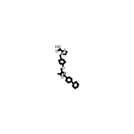 Cc1oc(-c2ccc(-c3ccccc3)cc2)nc1COc1ccc(CN2CCSC2C(=O)O)cc1